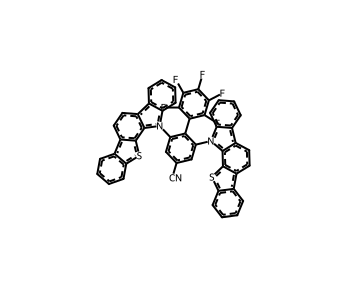 N#Cc1cc(-n2c3ccccc3c3ccc4c5ccccc5sc4c32)c(-c2c(F)c(F)c(F)c(F)c2F)c(-n2c3ccccc3c3ccc4c5ccccc5sc4c32)c1